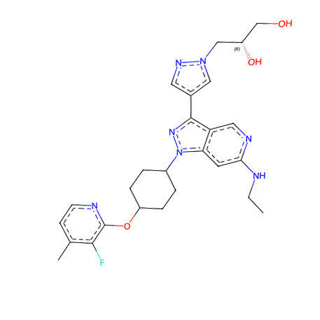 CCNc1cc2c(cn1)c(-c1cnn(C[C@@H](O)CO)c1)nn2C1CCC(Oc2nccc(C)c2F)CC1